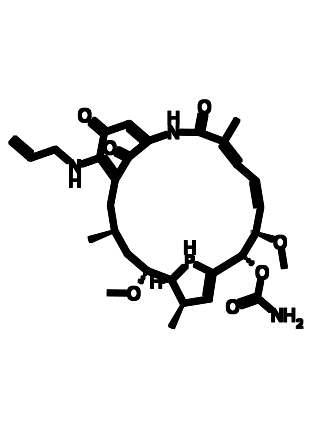 C=CCNC1=C2C[C@H](C)C[C@@H](OC)[C@H]3PC(=C[C@H]3C)[C@@H](OC(N)=O)[C@H](OC)/C=C\C=C(/C)C(=O)NC(=CC1=O)C2=O